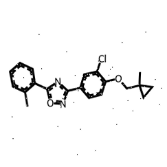 Cc1ccccc1-c1nc(-c2ccc(OCC3(C)CC3)c(Cl)c2)no1